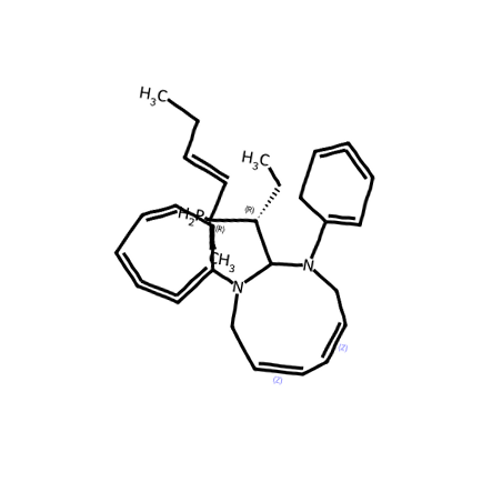 CCC=C[C@@](C)(P)[C@H](CC)C1N(C2=C=C=CC=CC2)C/C=C\C=C/CN1C1=CC=C=CC1